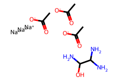 CC(=O)[O-].CC(=O)[O-].CC(=O)[O-].NC(N)C(N)O.[Na+].[Na+].[Na+]